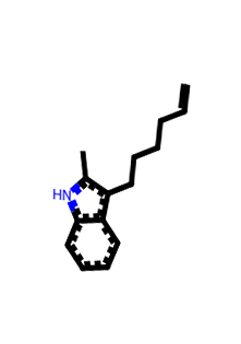 C=CCCCCc1c(C)[nH]c2ccccc12